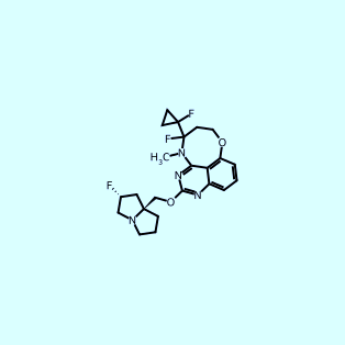 CN1c2nc(OC[C@@]34CCCN3C[C@H](F)C4)nc3cccc(c23)OCCC1(F)C1(F)CC1